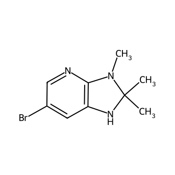 CN1c2ncc(Br)cc2NC1(C)C